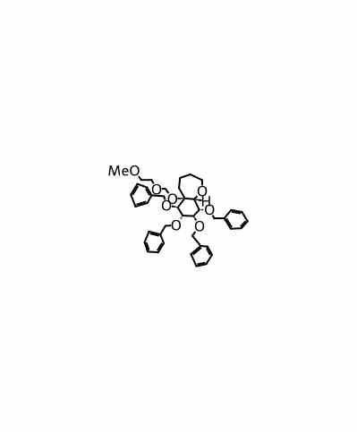 COCCOCO[C@@]12CCCCO[C@@H]1[C@H](OCc1ccccc1)[C@@H](OCc1ccccc1)[C@H](OCc1ccccc1)[C@H]2OCc1ccccc1